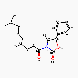 CC(C)CCCC(C)CCC(=O)N1C(=O)OC(c2ccccc2)C1C